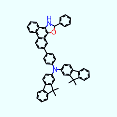 CC1(C)c2ccccc2-c2ccc(N(c3ccc(-c4ccc5c(c4)c4c(c6ccccc65)NC(c5ccccc5)O4)cc3)c3ccc4c(c3)C(C)(C)c3ccccc3-4)cc21